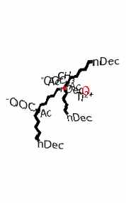 CC(C)=O.CCCCCCCCCCCCCCCC(CCCCCCCCCCCCCCC)(C(C)=O)C(=O)[O-].CCCCCCCCCCCCCCCC(CCCCCCCCCCCCCCC)(C(C)=O)C(=O)[O-].[O]=[Ti+2]